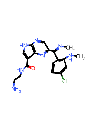 C/N=C(/c1cnc2[nH]cc(C(=O)NCCN)c2n1)c1ccc(Cl)cc1NC